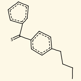 CCCCc1ccc(C(=S)c2ccccc2)cc1